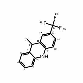 CC1c2ccccc2Nc2ccc(C(F)(F)F)cc21